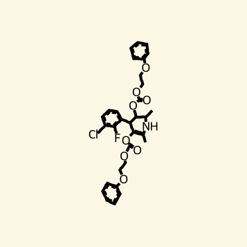 CC1=C(OC(=O)OCCOc2ccccc2)C(c2cccc(Cl)c2F)C(OC(=O)OCCOc2ccccc2)C(C)N1